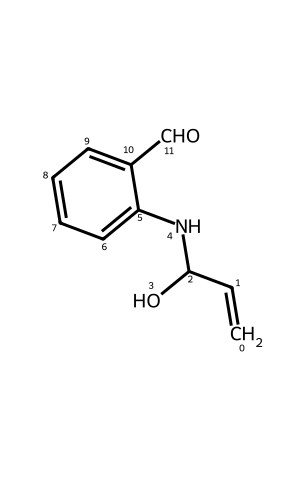 C=CC(O)Nc1ccccc1C=O